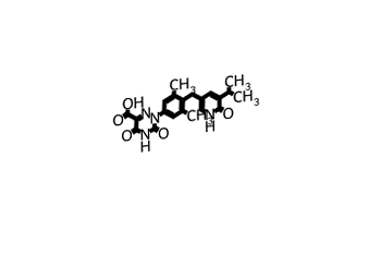 Cc1cc(-n2nc(C(=O)O)c(=O)[nH]c2=O)cc(C)c1Cc1c[nH]c(=O)c(C(C)C)c1